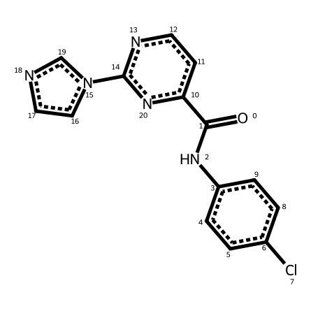 O=C(Nc1ccc(Cl)cc1)c1ccnc(-n2ccnc2)n1